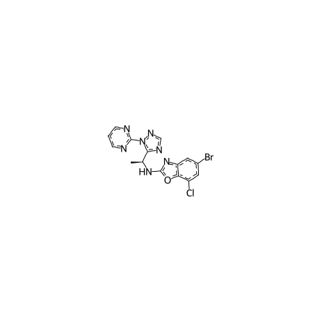 C[C@H](Nc1nc2cc(Br)cc(Cl)c2o1)c1ncnn1-c1ncccn1